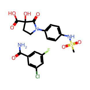 CS(=O)(=O)Nc1ccc(N2CCC(O)(C(=O)O)C2=O)cc1.NC(=O)c1cc(F)cc(Cl)c1